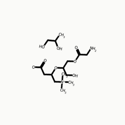 CC(O)CO.C[N+](C)(C)CC(CC(=O)[O-])OC(CO)COC(=O)CN